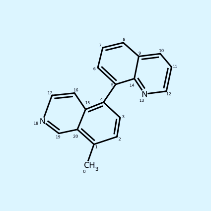 Cc1ccc(-c2cccc3cccnc23)c2ccncc12